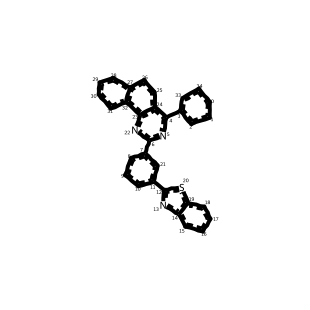 c1ccc(-c2nc(-c3cccc(-c4nc5ccccc5s4)c3)nc3c2ccc2ccccc23)cc1